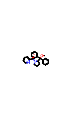 COC(c1ccccc1)(c1ccccc1)C1CCCN1C(=O)c1ccccn1